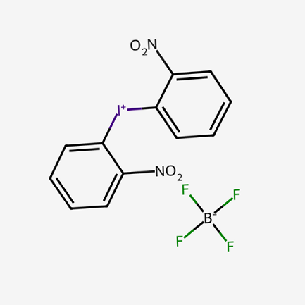 F[B-](F)(F)F.O=[N+]([O-])c1ccccc1[I+]c1ccccc1[N+](=O)[O-]